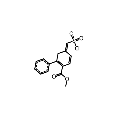 COC(=O)C1=C(c2ccccc2)CC(=CS(=O)(=O)Cl)C=C1